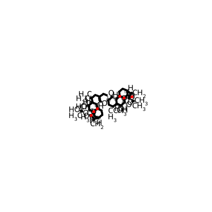 C=C1C(=O)[C@]23[C@H](C)[C@H]1CC[C@H]2[C@@]12CO[C@]3(OC(C)(C)O)[C@@H](O)[C@@H]1C(C)(C)CC1=C2O[C@]2(CC1)CC(C)(C)[C@H]1[C@H](O)[C@@]34OC[C@]1(C2=O)[C@@H]1CC[C@H]2C(=C)C(=O)[C@]13[C@@H]2OC(C)(C)O4